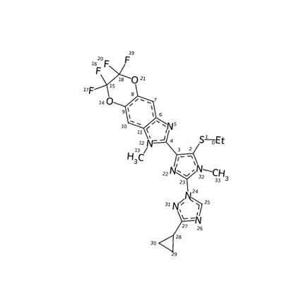 CCSc1c(-c2nc3cc4c(cc3n2C)OC(F)(F)C(F)(F)O4)nc(-n2cnc(C3CC3)n2)n1C